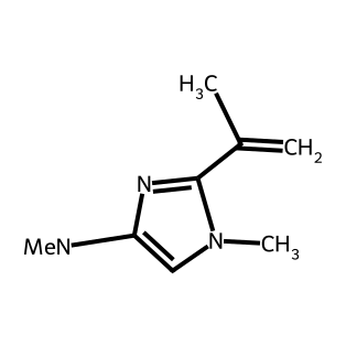 C=C(C)c1nc(NC)cn1C